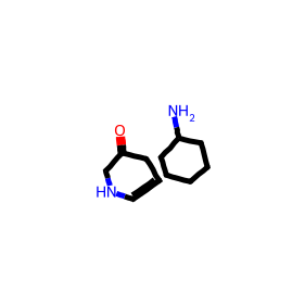 NC1CCCCC1.O=C1CC=CNC1